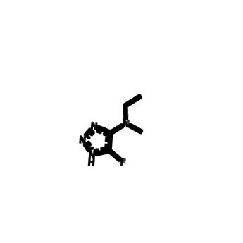 CCN(C)c1nn[nH]c1F